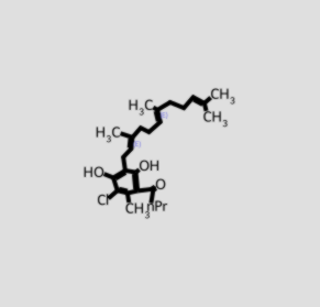 CCCC(=O)c1c(C)c(Cl)c(O)c(C/C=C(\C)CC/C=C(\C)CCC=C(C)C)c1O